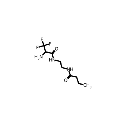 CCCC(=O)NCCNC(=O)C(N)C(F)(F)F